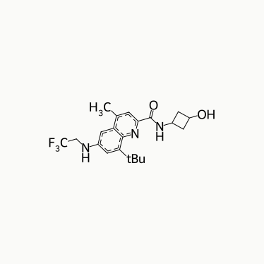 Cc1cc(C(=O)NC2CC(O)C2)nc2c(C(C)(C)C)cc(NCC(F)(F)F)cc12